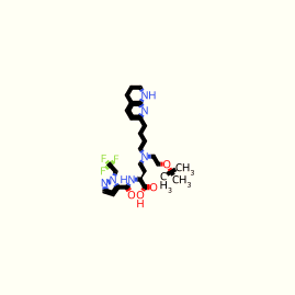 CC(C)(C)OCCN(CCCCc1ccc2c(n1)NCCC2)CC[C@H](NC(=O)c1ccnn1CC(F)(F)F)C(=O)O